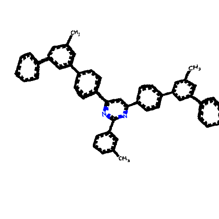 Cc1cc(-c2ccccc2)cc(-c2ccc(-c3cc(-c4ccc(-c5cc(C)cc(-c6ccccc6)c5)cc4)nc(-c4cccc(C)c4)n3)cc2)c1